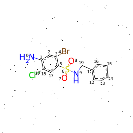 Nc1cc(Br)c(S(=O)(=O)NCc2ccccc2)cc1Cl